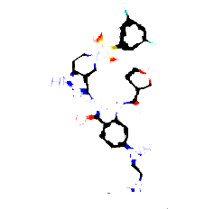 CN(C)CCNc1ccc(C(=O)Nc2n[nH]c3c2CN(S(=O)(=O)c2cc(F)cc(F)c2)CC3)c(NC(=O)C2CCOC2)c1